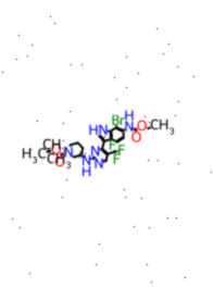 CCOC(=O)Nc1ccc2c(-c3nc(N[C@H]4CCCN(C(=O)OC(C)(C)C)C4)ncc3C(F)(F)F)c[nH]c2c1Br